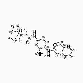 Nc1cc(NC(=O)CC23CC4CC(CC(C4)C2)C3)ccc1NC(=O)Cc1cccnc1Cl